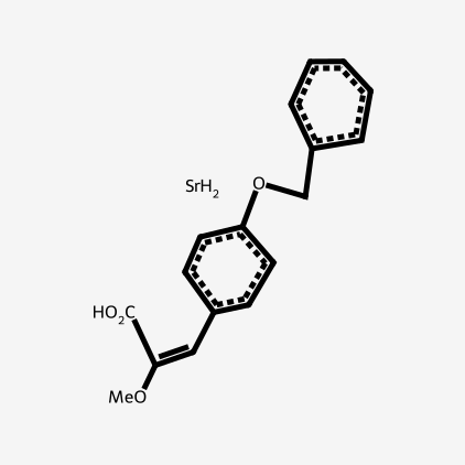 COC(=Cc1ccc(OCc2ccccc2)cc1)C(=O)O.[SrH2]